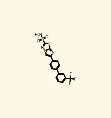 NS(=O)(=O)c1nn2cc(-c3ccc(-c4cccc(C(F)(F)F)c4)cc3)nc2s1